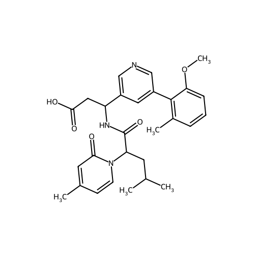 COc1cccc(C)c1-c1cncc(C(CC(=O)O)NC(=O)C(CC(C)C)n2ccc(C)cc2=O)c1